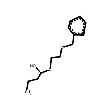 CCC[C@@H](O)OCCOCc1ccccc1